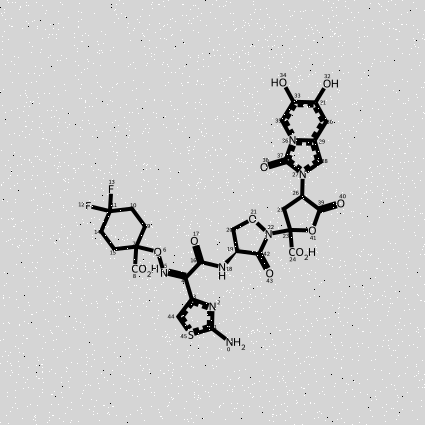 Nc1nc(/C(=N/OC2(C(=O)O)CCC(F)(F)CC2)C(=O)N[C@H]2CON(C3(C(=O)O)CC(n4cc5cc(O)c(O)cn5c4=O)C(=O)O3)C2=O)cs1